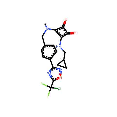 CN(Cc1ccc(-c2noc(C(F)(F)Cl)n2)cc1)c1c(NCC2CC2)c(=O)c1=O